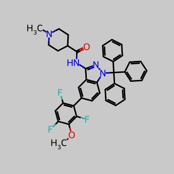 COc1c(F)cc(F)c(-c2ccc3c(c2)c(NC(=O)C2CCN(C)CC2)nn3C(c2ccccc2)(c2ccccc2)c2ccccc2)c1F